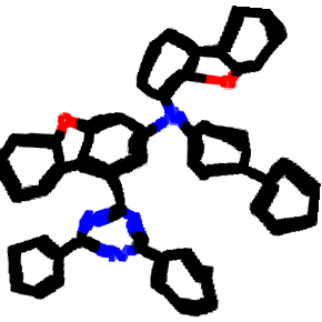 c1ccc(-c2ccc(N(c3cc(-c4nc(-c5ccccc5)nc(-c5ccccc5)n4)c4c(c3)oc3ccccc34)c3cccc4c3oc3ccccc34)cc2)cc1